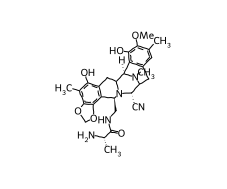 COc1c(C)cc2c(c1O)[C@@H]1C3Cc4c(O)c(C)c5c(c4[C@H](CNC(=O)[C@H](C)N)N3[C@@H](C#N)C(C2)N1C)OCO5